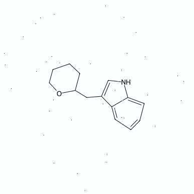 c1ccc2c(CC3CCCCO3)c[nH]c2c1